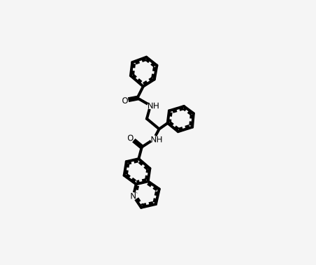 O=C(NCC(NC(=O)c1ccc2ncccc2c1)c1ccccc1)c1ccccc1